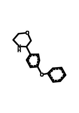 c1ccc(Oc2ccc(C3COCCN3)cc2)cc1